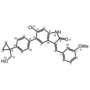 COc1cccc(/C=C2\C(=O)Nc3cc(Cl)c(-c4ccc(C5(CO)CC5)cc4)cc32)n1